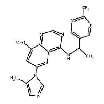 COc1cc(-n2cncc2C)cc2c(NC(C)c3cnc(C(F)(F)F)nc3)ncnc12